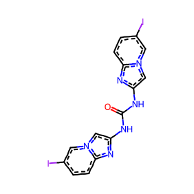 O=C(Nc1cn2cc(I)ccc2n1)Nc1cn2cc(I)ccc2n1